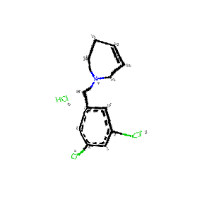 Cl.Clc1cc(Cl)cc(CN2CC=CCC2)c1